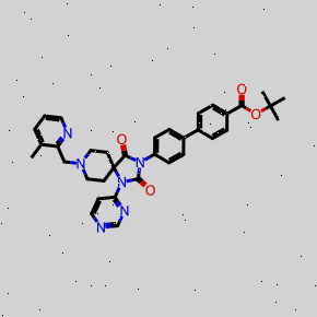 Cc1cccnc1CN1CCC2(CC1)C(=O)N(c1ccc(-c3ccc(C(=O)OC(C)(C)C)cc3)cc1)C(=O)N2c1ccncn1